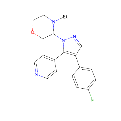 CCN1CCOCC1n1ncc(-c2ccc(F)cc2)c1-c1ccncc1